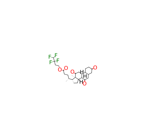 C[C@H](CCC(=O)OCCC(F)(F)C(F)F)[C@H]1CC[C@H]2[C@@H]3C(=O)CC4CC(=O)CC[C@]4(C)[C@H]3CC(=O)[C@]12C